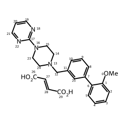 COc1ccccc1-c1cccc(CN2CCN(c3ncccn3)CC2)c1.O=C(O)C=CC(=O)O